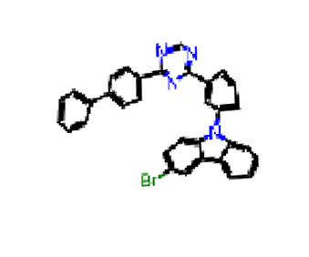 Brc1ccc2c(c1)c1ccccc1n2-c1cccc(-c2ncnc(-c3ccc(-c4ccccc4)cc3)n2)c1